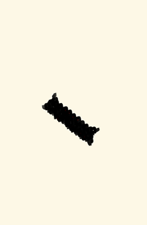 CCO[Si]1(C)O[Si](C)(OCC)O[Si]2(C)O[Si](C)(O1)O[Si]1(C)O[Si](C)(O2)O[Si]2(C)O[Si](C)(O1)O[Si]1(C)O[Si](C)(O2)O[Si]2(C)O[Si]3(C)O[Si]4(C)O[Si]5(C)O[Si](C)(OCC)O[Si](C)(OCC)O[Si](C)(O5)O[Si](C)(O4)O[Si](C)(O3)O[Si](C)(O2)O1